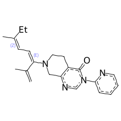 C=C(C)/C(=C\C=C(\C)CC)N1CCc2c(ncn(-c3ccccn3)c2=O)C1